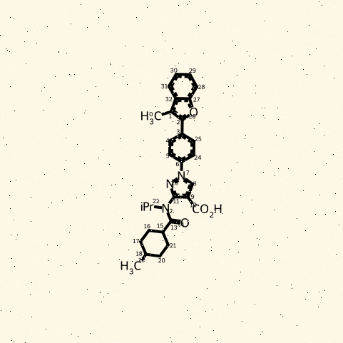 Cc1c(-c2ccc(-n3cc(C(=O)O)c(N(C(=O)C4CCC(C)CC4)C(C)C)n3)cc2)oc2ccccc12